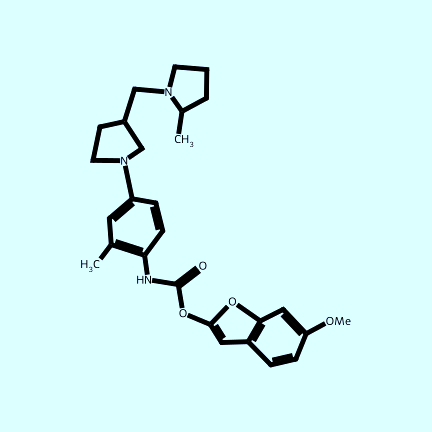 COc1ccc2cc(OC(=O)Nc3ccc(N4CCC(CN5CCCC5C)C4)cc3C)oc2c1